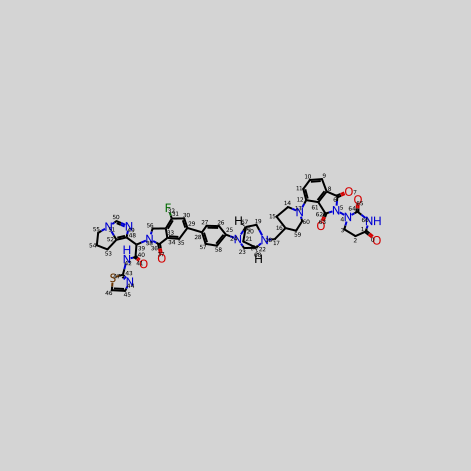 O=C1CCN(N2C(=O)c3cccc(N4CCC(CN5C[C@H]6C[C@@H]5CN6c5ccc(-c6cc(F)c7c(c6)C(=O)N(C(C(=O)Nc6nccs6)c6ncn8c6CCC8)C7)cc5)CC4)c3C2=O)C(=O)N1